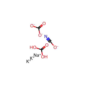 N#C[O-].O=C(O)O.O=C([O-])[O-].[K+].[K+].[Na+]